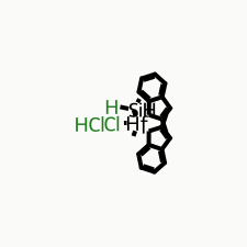 CC1=Cc2ccccc2[CH]1[Hf]([CH3])([CH3])([CH]1C(C)=Cc2ccccc21)[SiH](C)C.Cl.Cl